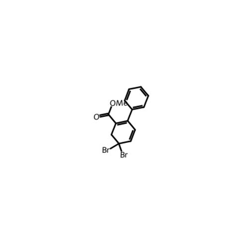 COC(=O)C1=C(c2ccccc2)C=CC(Br)(Br)C1